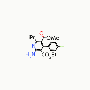 CCOC(=O)c1c(N)nc(C(C)C)c(C(=O)OC)c1-c1ccc(F)cc1